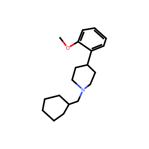 COc1ccccc1C1CCN(CC2CCCCC2)CC1